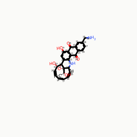 C[C@@H](O)[C@@]12O[C@]13c1cc(O)c4c(c1N[C@H]2C#C/C=C\C#C[C@H]3O)C(=O)c1ccc(CN)cc1C4=O